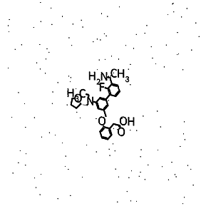 CCN(C[C@@H]1CCCO1)c1cc(COc2ccccc2CC(=O)O)cc(-c2cccc([C@@H](C)N)c2F)c1